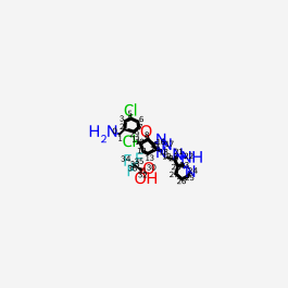 NCc1cc(Cl)cc(Oc2c(Cl)ccc3c2nnn3Cc2n[nH]c3ncccc23)c1.O=C(O)C(F)(F)F